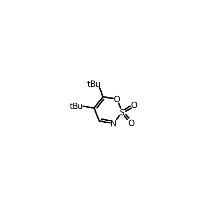 CC(C)(C)C1=C(C(C)(C)C)OS(=O)(=O)N=C1